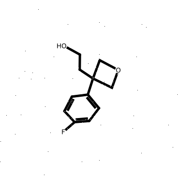 OCCC1(c2ccc(F)cc2)COC1